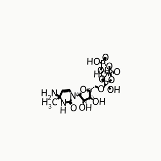 CC1(N)C=CN([C@@H]2O[C@H](COP(=O)(O)OP(=O)(O)OP(=O)(O)O)[C@@H](O)[C@H]2O)C(=O)N1